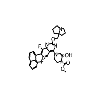 COC(=O)[C@@H]1CCN(c2nc(OCC34CCCN3CCC4)nc3c(F)c(-c4cccc5cccc(F)c45)ncc23)C[C@@H]1O